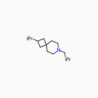 CC(C)CN1CCC2(CC1)CC(C(C)C)C2